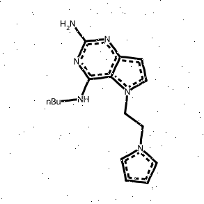 CCCCNc1nc(N)nc2ccn(CCn3cccc3)c12